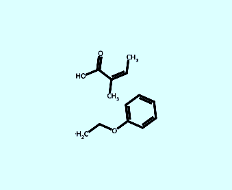 CC=C(C)C(=O)O.[CH2]COc1ccccc1